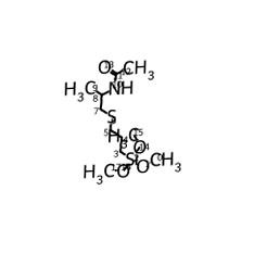 CO[Si](CCCSCC(C)NC(C)=O)(OC)OC